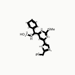 CSc1nc(-c2cnc(CC(C)C)s2)cc(C(NC(=O)O)c2ccccc2)n1